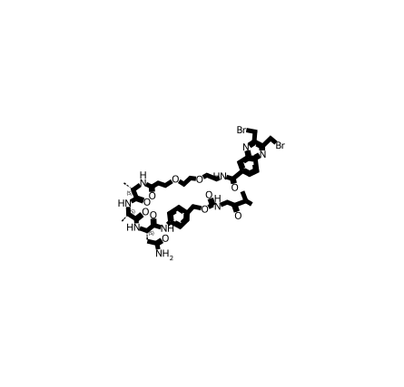 CC(C)C(=O)CNC(=O)OCc1ccc(NC(=O)[C@H](CC(N)=O)NC(=O)[C@H](C)NC(=O)[C@H](C)NC(=O)CCOCCOCCNC(=O)c2ccc3nc(CBr)c(CBr)nc3c2)cc1